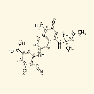 COCC(C)(C)Nc1cc(=O)n(C)c2ccc(Nc3cc(C(=O)O)nc(Cl)c3C#N)cc12